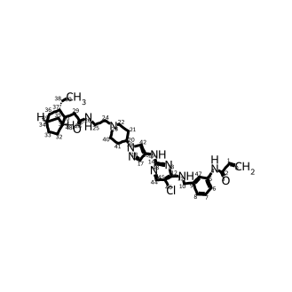 C=CC(=O)Nc1cccc(CNc2nc(Nc3cnn(C4CCN(CCNC(=O)CC5[C@@H]6CC[C@@H](C6)C[C@@H]5CC)CC4)c3)ncc2Cl)c1